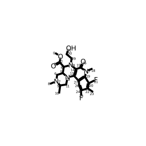 COC(=O)C1C2CN(C)C(C)CN2c2c(c(=O)n(C)c3c(F)c(C)c(F)cc23)N1CCO